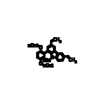 C=Cc1ccc2c(c1)c1cc(C=C)cc(-c3cc(OCCCCCCCC)ccc3OCCCCCCCC)c1n2CCCC